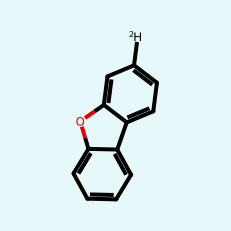 [2H]c1ccc2c(c1)oc1ccccc12